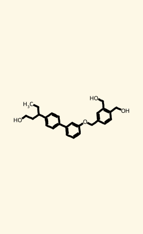 CCC(CCO)c1ccc(-c2cccc(OCc3ccc(CO)c(CO)c3)c2)cc1